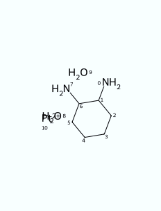 NC1CCCCC1N.O.O.[Pt+2]